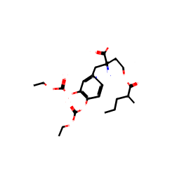 CCCC(C)C(=O)O[C@@H](C)CC(N)(Cc1ccc(OC(=O)OCC)c(OC(=O)OCC)c1)C(=O)O